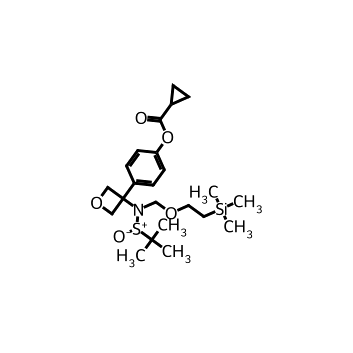 CC(C)(C)[S+]([O-])N(COCC[Si](C)(C)C)C1(c2ccc(OC(=O)C3CC3)cc2)COC1